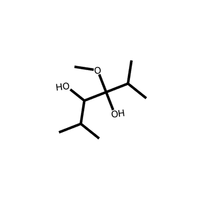 COC(O)(C(C)C)C(O)C(C)C